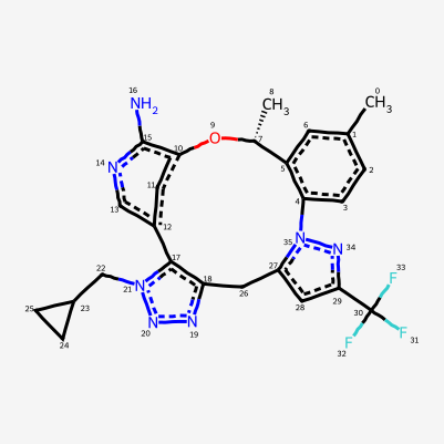 Cc1ccc2c(c1)[C@@H](C)Oc1cc(cnc1N)-c1c(nnn1CC1CC1)Cc1cc(C(F)(F)F)nn1-2